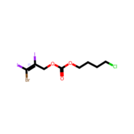 O=C(OCCCCCl)OC/C(I)=C(\Br)I